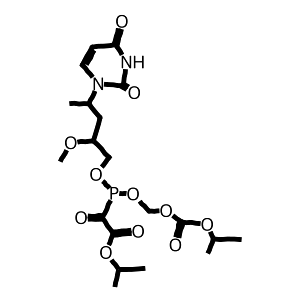 COC(COP(OCOC(=O)OC(C)C)C(=O)C(=O)OC(C)C)CC(C)n1ccc(=O)[nH]c1=O